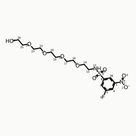 O=[N+]([O-])c1cc(F)cc(S(=O)(=O)NCCOCCOCCOCCOCCO)c1